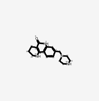 O=c1[nH]c2cc(CN3CCNCC3)ccc2c2c1CCCN2